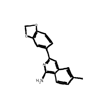 Cc1ccc2c(N)nc(-c3ccc4c(c3)OCO4)cc2c1